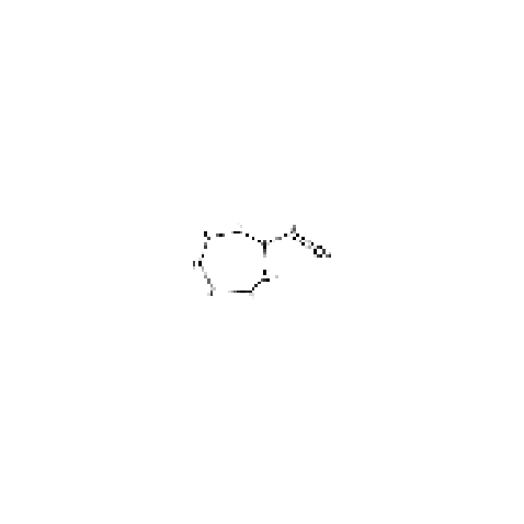 O=CC1CCCCCS1